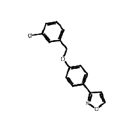 Clc1cccc(COc2ccc(-c3ccon3)cc2)c1